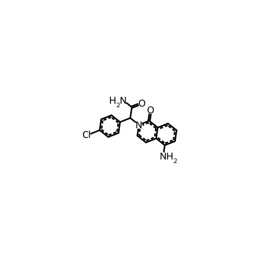 NC(=O)C(c1ccc(Cl)cc1)n1ccc2c(N)cccc2c1=O